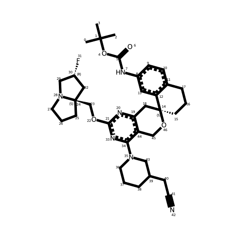 CC(C)(C)OC(=O)Nc1ccc2c(c1)[C@]1(CCC2)Cc2nc(OC[C@@]34CCCN3C[C@H](F)C4)nc(N3CCCC(CC#N)C3)c2CO1